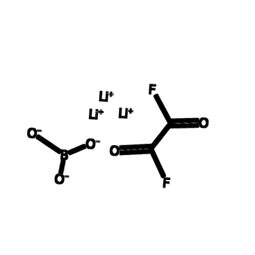 O=C(F)C(=O)F.[Li+].[Li+].[Li+].[O-]B([O-])[O-]